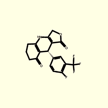 O=C1CCCC2=C1[C@@H](c1ccc(F)c(C(F)(F)F)c1)C1=C(COC1=O)N2